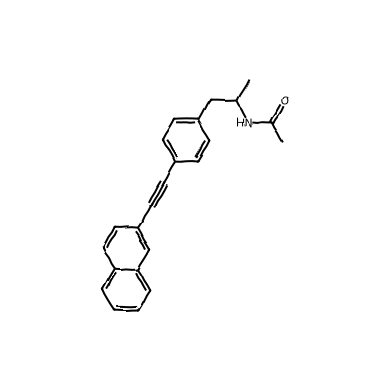 CC(=O)NC(C)Cc1ccc(C#Cc2ccc3ccccc3c2)cc1